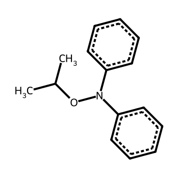 CC(C)ON(c1ccccc1)c1ccccc1